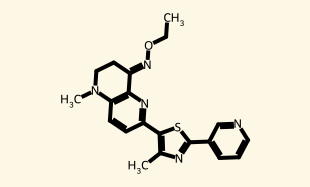 CCO/N=C1\CCN(C)c2ccc(-c3sc(-c4cccnc4)nc3C)nc21